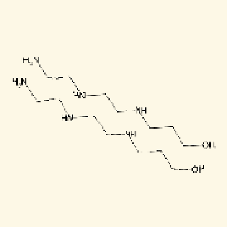 NCCNCCNCCCO.NCCNCCNCCCO